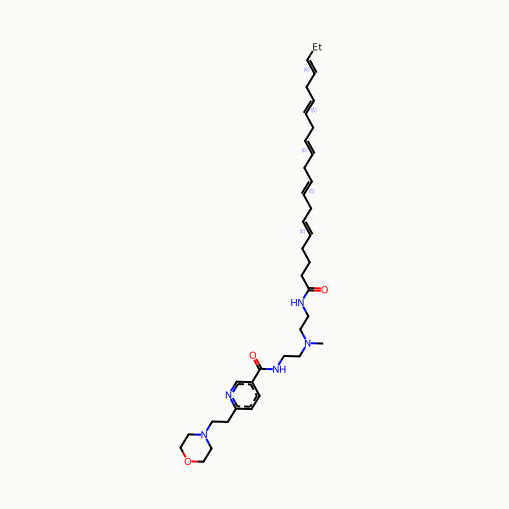 CC/C=C/C/C=C/C/C=C/C/C=C/C/C=C/CCCC(=O)NCCN(C)CCNC(=O)c1ccc(CCN2CCOCC2)nc1